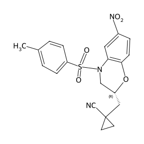 Cc1ccc(S(=O)(=O)N2C[C@@H](CC3(C#N)CC3)Oc3ccc([N+](=O)[O-])cc32)cc1